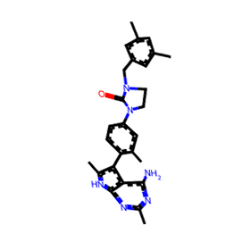 Cc1cc(C)cc(CN2CCN(c3ccc(-c4c(C)[nH]c5nc(C)nc(N)c45)c(C)c3)C2=O)c1